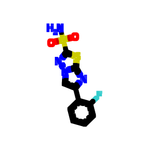 NS(=O)(=O)c1nn2cc(-c3ccccc3F)nc2s1